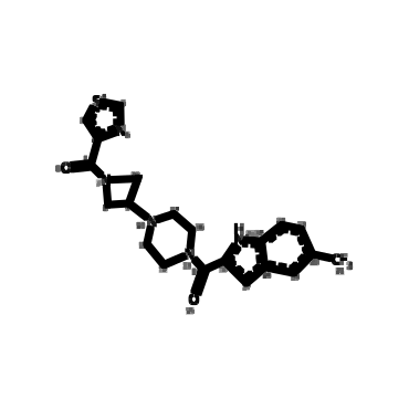 O=C(c1cscn1)N1CC(N2CCN(C(=O)c3cc4cc(C(F)(F)F)ccc4[nH]3)CC2)C1